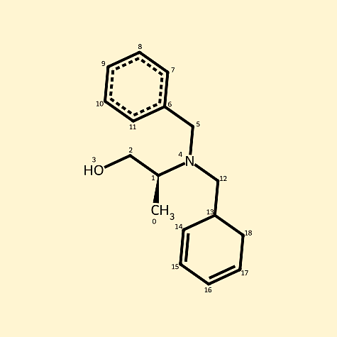 C[C@@H](CO)N(Cc1ccccc1)CC1C=CC=CC1